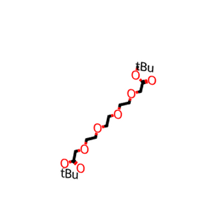 CC(C)(C)OC(=O)COCCOCCOCCOCC(=O)OC(C)(C)C